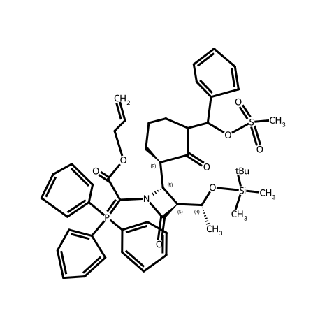 C=CCOC(=O)C(N1C(=O)[C@H]([C@@H](C)O[Si](C)(C)C(C)(C)C)[C@H]1[C@H]1CCCC(C(OS(C)(=O)=O)c2ccccc2)C1=O)=P(c1ccccc1)(c1ccccc1)c1ccccc1